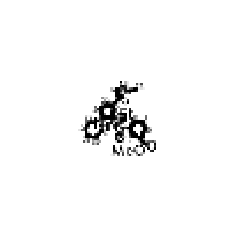 CCc1ccc(C(=O)OC)cc1S(=O)(=O)Nc1cc(-c2cnc(C)s2)ccc1N1CCCCC1